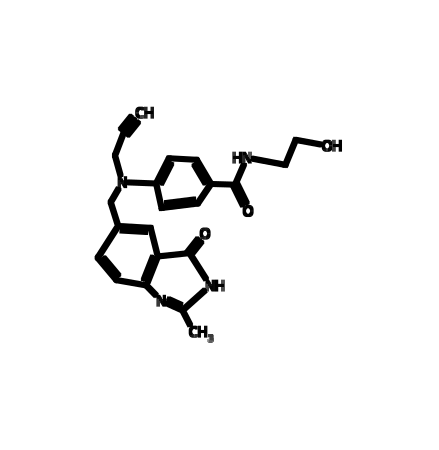 C#CCN(Cc1ccc2nc(C)[nH]c(=O)c2c1)c1ccc(C(=O)NCCO)cc1